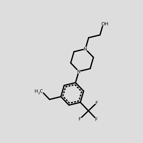 CCc1cc(N2CCN(CCO)CC2)cc(C(F)(F)F)c1